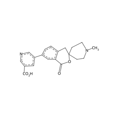 CN1CCC2(CC1)Cc1ccc(-c3cncc(C(=O)O)c3)cc1C(=O)O2